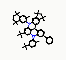 Cc1ccc(C(C)(C)C)cc1N1c2cc(-c3ccccc3)ccc2B2c3cc4c(cc3N(c3cc5c(cc3C)C(C)(C)CCC5(C)C)c3cc(C(C)(C)C)cc1c32)C(C)(C)CC4(C)C